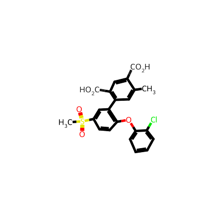 Cc1cc(-c2cc(S(C)(=O)=O)ccc2Oc2ccccc2Cl)c(C(=O)O)cc1C(=O)O